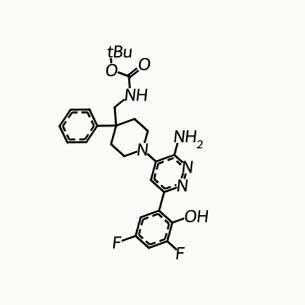 CC(C)(C)OC(=O)NCC1(c2ccccc2)CCN(c2cc(-c3cc(F)cc(F)c3O)nnc2N)CC1